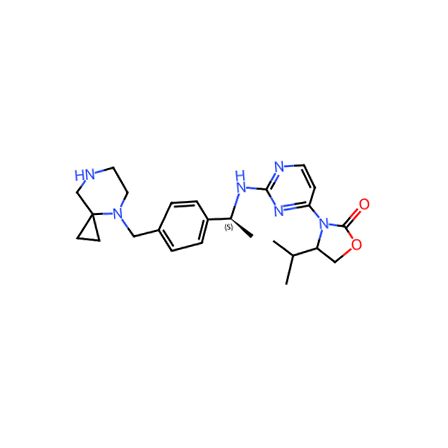 CC(C)C1COC(=O)N1c1ccnc(N[C@@H](C)c2ccc(CN3CCNCC34CC4)cc2)n1